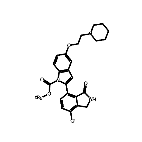 CC(C)(C)OC(=O)n1c(-c2ccc(Cl)c3c2C(=O)NC3)cc2cc(OCCN3CCCCC3)ccc21